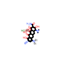 CCN(CC)c1cc([N+]#N)c(O)c2c1CC1CC3C(N(C)C)C(O)=C(C(N)=O)C(=O)C3(O)C(O)=C1C2=O.Cl.O=S(=O)(O)O